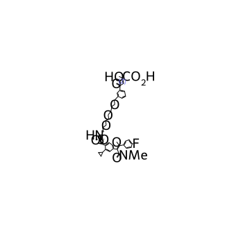 CNC(=O)c1c(-c2ccc(F)cc2)oc2cc(CS(=O)(=O)NCCOCCOCCOCc3cccc(C(=O)/C=C(\O)C(=O)O)c3)c(C3CC3)cc12